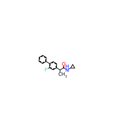 CC(C(=O)NC1CC1)c1ccc(-c2ccccc2)c(F)c1